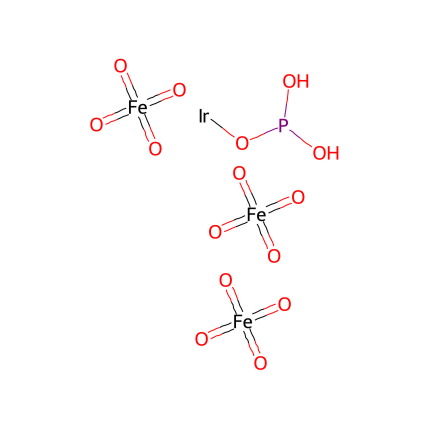 OP(O)[O][Ir].[O]=[Fe](=[O])(=[O])=[O].[O]=[Fe](=[O])(=[O])=[O].[O]=[Fe](=[O])(=[O])=[O]